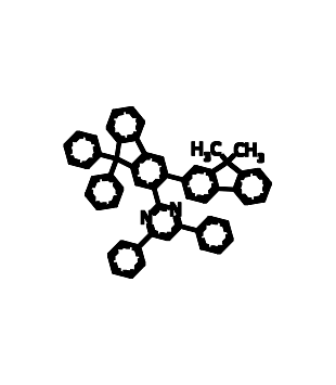 CC1(C)c2ccccc2-c2ccc(-c3cc4c(cc3-c3nc(-c5ccccc5)cc(-c5ccccc5)n3)C(c3ccccc3)(c3ccccc3)c3ccccc3-4)cc21